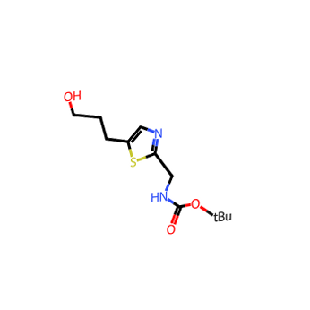 CC(C)(C)OC(=O)NCc1ncc(CCCO)s1